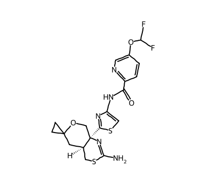 NC1=N[C@]2(c3nc(NC(=O)c4ccc(OC(F)F)cn4)cs3)COC3(CC3)C[C@@H]2CS1